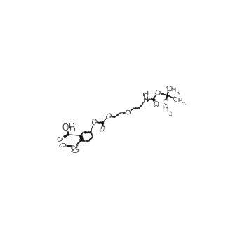 CC(C)(C)OC(=O)NCCOCCOC(=O)Oc1ccc([N+](=O)[O-])c(C(=O)O)c1